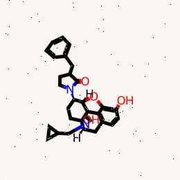 O=C1C(Cc2ccccc2)CCN1[C@@H]1CCC2(O)[C@H]3Cc4ccc(O)c5c4[C@@]2(CCN3CC2CC2)[C@H]1O5